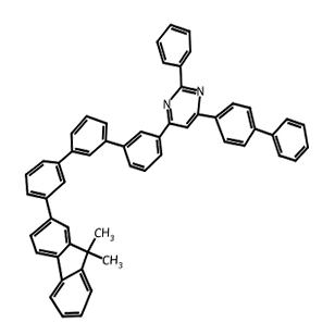 CC1(C)c2ccccc2-c2ccc(-c3cccc(-c4cccc(-c5cccc(-c6cc(-c7ccc(-c8ccccc8)cc7)nc(-c7ccccc7)n6)c5)c4)c3)cc21